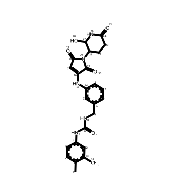 Cc1ccc(NC(=O)NCc2cccc(NC3=CC(=O)N(C4CCC(=O)NC4O)C3=O)c2)cc1C(F)(F)F